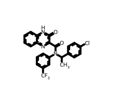 CC(c1ccc(Cl)cc1)N(C(=O)c1nc2ccccc2[nH]c1=O)c1cccc(C(F)(F)F)c1